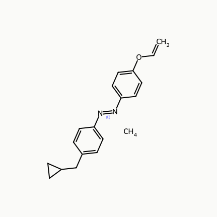 C.C=COc1ccc(/N=N/c2ccc(CC3CC3)cc2)cc1